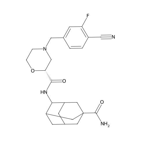 N#Cc1ccc(CN2CCO[C@@H](C(=O)NC3C4CC5CC3CC(C(N)=O)(C5)C4)C2)cc1F